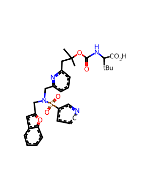 CC(C)(Cc1cccc(CN(Cc2cc3ccccc3o2)S(=O)(=O)c2cccnc2)n1)OC(=O)NC(C(=O)O)C(C)(C)C